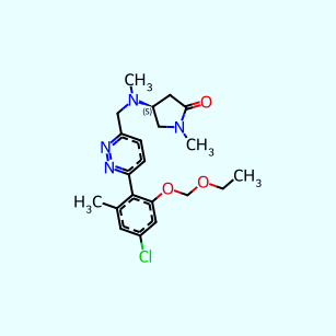 CCOCOc1cc(Cl)cc(C)c1-c1ccc(CN(C)[C@H]2CC(=O)N(C)C2)nn1